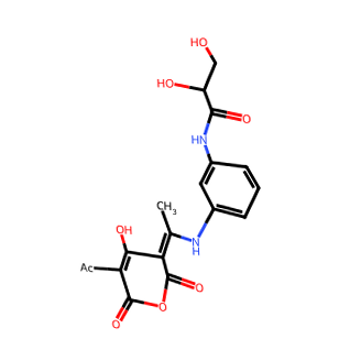 CC(=O)C1=C(O)/C(=C(\C)Nc2cccc(NC(=O)C(O)CO)c2)C(=O)OC1=O